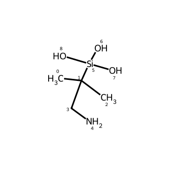 CC(C)(CN)[Si](O)(O)O